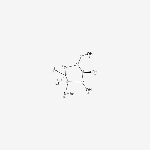 CC[C@]1(C(C)C)OC(CO)[C@@H](O)C(O)C1NC(C)=O